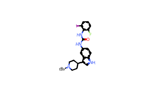 CC(C)(C)N1CCC(c2c[nH]c3ccc(NC(=O)Nc4c(F)cccc4I)cc23)CC1